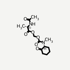 CC(=O)N[C@@H](C)C(=O)OCOC(=O)N(C)[C@@H]1CCCCC1=O